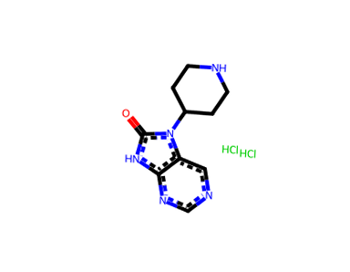 Cl.Cl.O=c1[nH]c2ncncc2n1C1CCNCC1